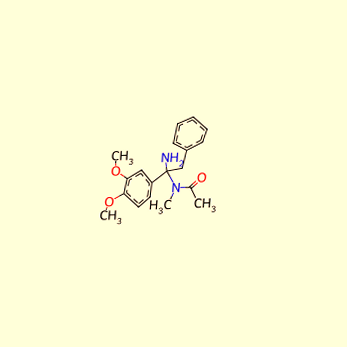 COc1ccc(C(N)(Cc2ccccc2)N(C)C(C)=O)cc1OC